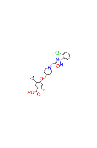 O=C(O)c1cc(C2CC2)c(OCC2CCN(Cc3nc(-c4ccccc4Cl)no3)CC2)cc1F